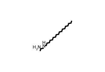 CCCCCCCCCCCCCCCCCCNCC(C)N